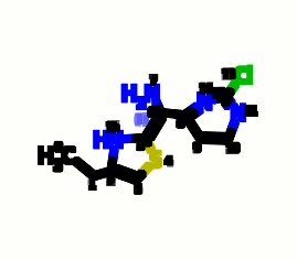 CCC1=CS/C(=C(/N)c2ccnc(Cl)n2)N1